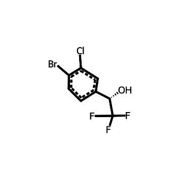 O[C@@H](c1ccc(Br)c(Cl)c1)C(F)(F)F